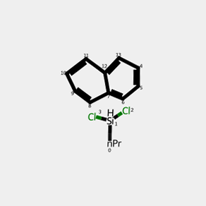 CCC[SiH](Cl)Cl.c1ccc2ccccc2c1